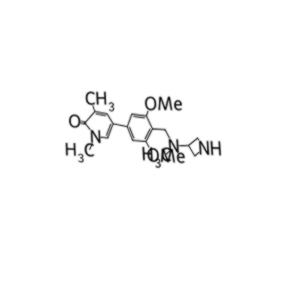 COc1cc(-c2cc(C)c(=O)n(C)c2)cc(OC)c1CN(C)C1CNC1